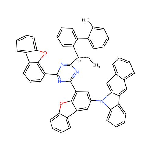 CC[C@H](c1nc(-c2cccc3c2oc2ccccc23)nc(-c2cc(-n3c4ccccc4c4cc5ccccc5cc43)cc3c2oc2ccccc23)n1)c1ccccc1-c1ccccc1C